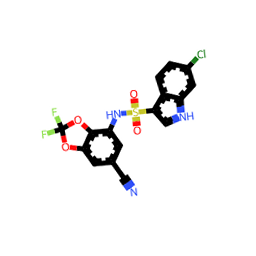 N#Cc1cc(NS(=O)(=O)c2c[nH]c3cc(Cl)ccc23)c2c(c1)OC(F)(F)O2